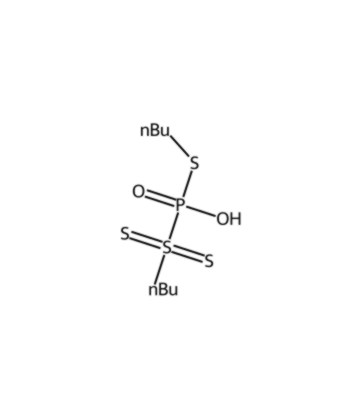 CCCCSP(=O)(O)S(=S)(=S)CCCC